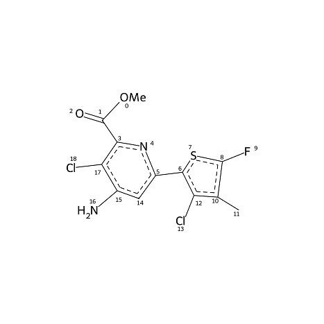 COC(=O)c1nc(-c2sc(F)c(C)c2Cl)cc(N)c1Cl